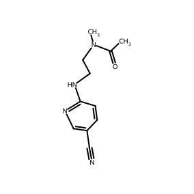 CC(=O)N(C)CCNc1ccc(C#N)cn1